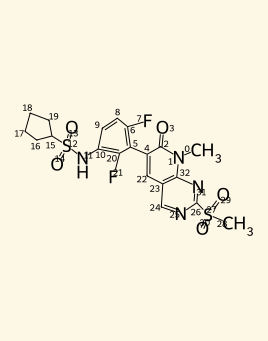 Cn1c(=O)c(-c2c(F)ccc(NS(=O)(=O)C3CCCC3)c2F)cc2cnc(S(C)(=O)=O)nc21